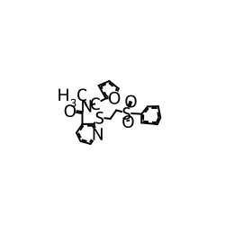 CN(Cc1ccco1)C(=O)c1cccnc1SCCS(=O)(=O)c1ccccc1